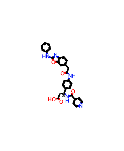 O=C(O)C[C@H](NC(=O)c1ccncc1)c1ccc(NC(=O)Cc2ccc3nc(Nc4ccccc4)oc3c2)cc1